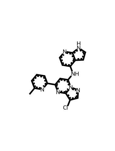 Cc1cccc(-c2cc(Nc3ccnc4[nH]ccc34)n3ncc(Cl)c3n2)n1